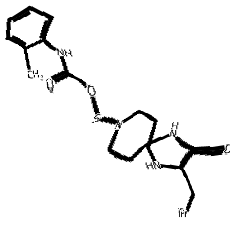 Cc1ccccc1NC(=O)OSN1CCC2(CC1)NC(=O)C(CC(C)C)N2